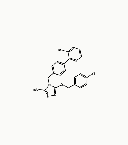 CCCCc1nnc(SCc2ccc(Cl)cc2)n1Cc1ccc(-c2ccccc2C#N)cc1